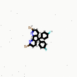 Fc1ccc(C2(c3ccc(F)cc3)c3ccc(Br)nc3-c3nc(Br)ccc32)cc1